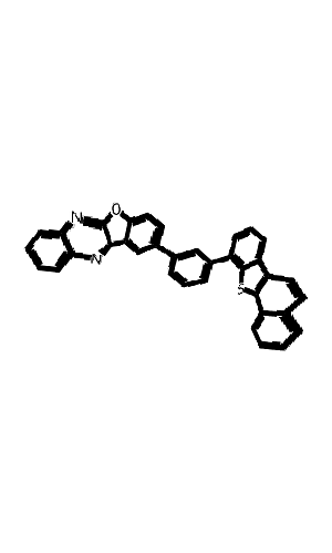 c1cc(-c2ccc3oc4nc5ccccc5nc4c3c2)cc(-c2cccc3c2sc2c4ccccc4ccc32)c1